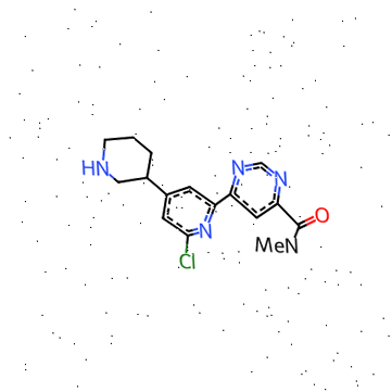 CNC(=O)c1cc(-c2cc(C3CCCNC3)cc(Cl)n2)ncn1